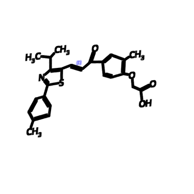 Cc1ccc(-c2nc(C(C)C)c(/C=C/C(=O)c3ccc(OCC(=O)O)c(C)c3)s2)cc1